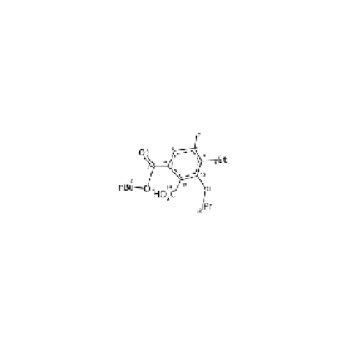 CCCCOC(=O)c1cc(C)c(CC)c(CC(C)C)c1C(=O)O